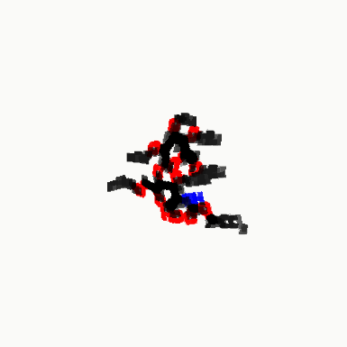 CCCCOCC1O[C@@H](O[C@@H]2C(COCCCC)O[C@H](O)C(NC(=O)OCC(Cl)(Cl)Cl)[C@H]2OCCCC)C(OCCCC)C(OCCCC)[C@H]1OCCCC